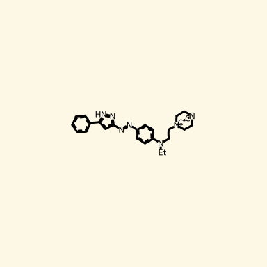 CCN(CC[N+]12CCN(CC1)CC2)c1ccc(/N=N/c2cc(-c3ccccc3)[nH]n2)cc1